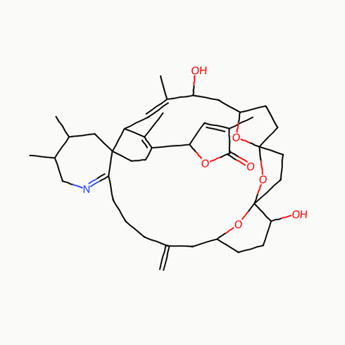 C=C1CCCC2=NCC(C)C(C)CC23CCC(C2C=C(C)C(=O)O2)=C(C)C3/C=C(\C)C(O)CC2CCC3(CCC4(OC(CCC4O)C1)O3)O2